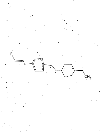 CC[C@H]1CC[C@H](CCc2ccc(C/C=C/F)cc2)CC1